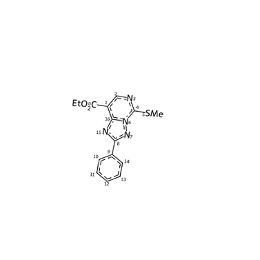 CCOC(=O)c1cnc(SC)n2nc(-c3ccccc3)nc12